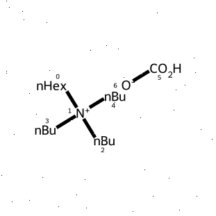 CCCCCC[N+](CCCC)(CCCC)CCCC.O=C([O-])O